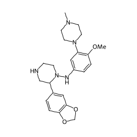 COc1ccc(NN2CCNCC2c2ccc3c(c2)OCO3)cc1N1CCN(C)CC1